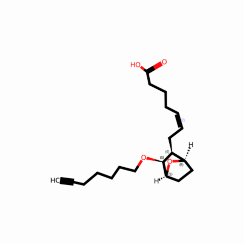 C#CCCCCCO[C@H]1[C@@H](C/C=C\CCCC(=O)O)[C@H]2CC[C@@H]1O2